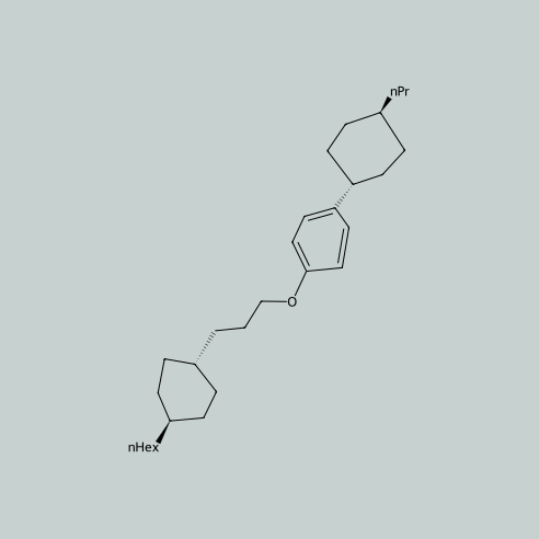 CCCCCC[C@H]1CC[C@H](CCCOc2ccc([C@H]3CC[C@H](CCC)CC3)cc2)CC1